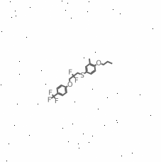 CCCOc1ccc(SCC(F)(F)COc2ccc(C(F)(F)F)cc2)cc1C